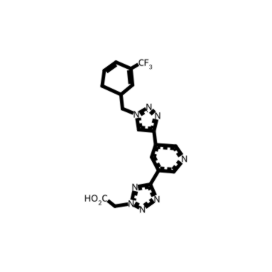 O=C(O)Cn1nnc(-c2cncc(-c3cn(CC4C=C(C(F)(F)F)C=CC4)nn3)c2)n1